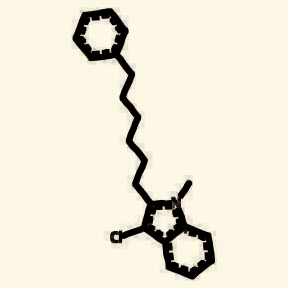 Cn1c(CCCCCCc2ccccc2)c(Cl)c2ccccc21